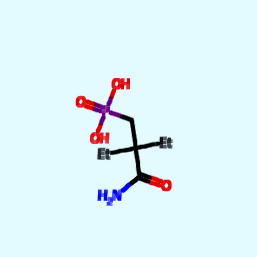 CCC(CC)(CP(=O)(O)O)C(N)=O